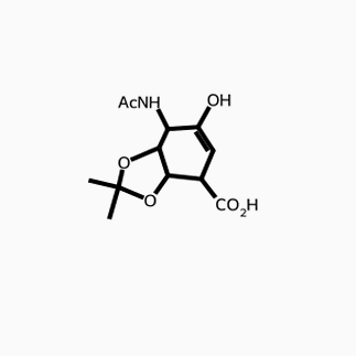 CC(=O)NC1C(O)=CC(C(=O)O)C2OC(C)(C)OC12